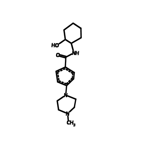 CN1CCN(c2ccc(C(=O)NC3CCCCC3O)cc2)CC1